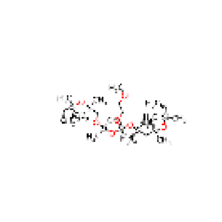 C=C[Si](C)(C)O[Si](C)(C)CO[Si](C)(C)O[Si](C)(OCCOC)O[Si](C)(C)C[Si](C)(C)O[Si](C)(C)C=C